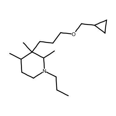 CCCN1CCC(C)C(C)(CCCOCC2CC2)C1C